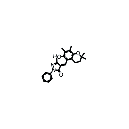 CC1=NN(c2ccccc2)C(=O)C1=Cc1c(O)c(C)c(C)c2c1CCC(C)(C)O2